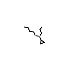 CCCC[N]N(CCC)C1CC1